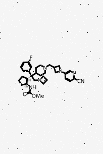 COC(=O)N[C@H]1CCC[C@@H]1C(CN1CCC1)(c1cccc(F)c1)C1CCN(CC2CN(c3ccc(C#N)nc3)C2)CC1